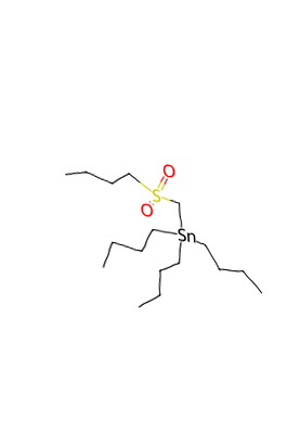 CCCCS(=O)(=O)[CH2][Sn]([CH2]CCC)([CH2]CCC)[CH2]CCC